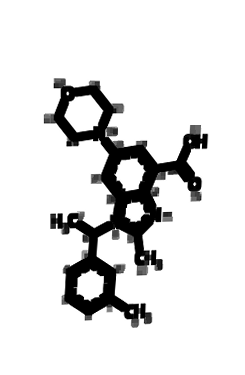 Cc1cccc(C(C)n2c(C)nc3c(C(=O)O)cc(N4CCOCC4)cc32)c1